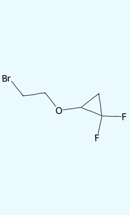 FC1(F)CC1OCCBr